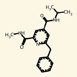 CNC(=O)c1cc(C(=O)NC(C)C)cc(Cc2ccccc2)n1